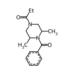 CCC(=O)N1CC(C)N(C(=O)c2ccccc2)C(C)C1